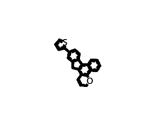 C1=Cc2c3c(c4ccccc4c2OC1)-c1ccc(-c2cccs2)cc1C3